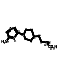 Nc1cncc(N2CCC(CCNC(=O)O)CC2)n1